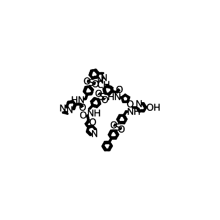 Cn1ncc2cccc(S(=O)(=O)c3ccc(CNC(=O)c4ccc5nccn5c4)cc3)c21.O=C(NC1CCCC1)c1cccc(S(=O)(=O)c2ccc(CNC(=O)c3cc4ccncc4o3)cc2)c1.O=C(NCc1ccc(S(=O)(=O)c2ccc(-c3ccccc3)cc2)cc1)c1ccc(O)cn1